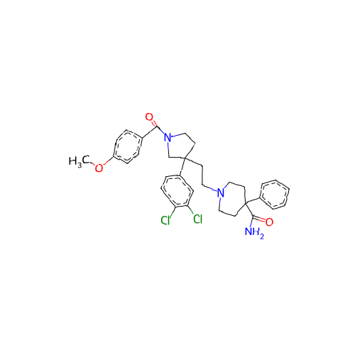 COc1ccc(C(=O)N2CCC(CCN3CCC(C(N)=O)(c4ccccc4)CC3)(c3ccc(Cl)c(Cl)c3)C2)cc1